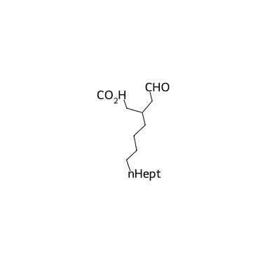 CCCCCCCCCCCC(CC=O)CC(=O)O